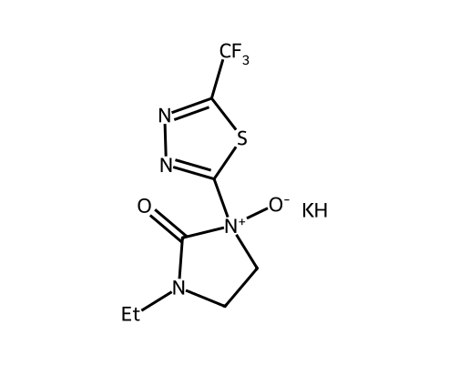 CCN1CC[N+]([O-])(c2nnc(C(F)(F)F)s2)C1=O.[KH]